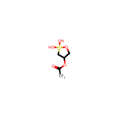 O=C(OC1COS(O)(O)C1)C(F)(F)F